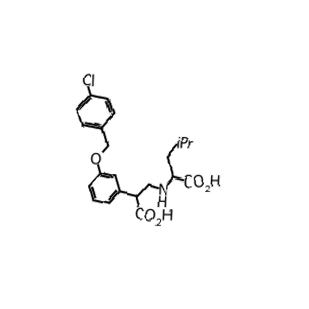 CC(C)CC(NCC(C(=O)O)c1cccc(OCc2ccc(Cl)cc2)c1)C(=O)O